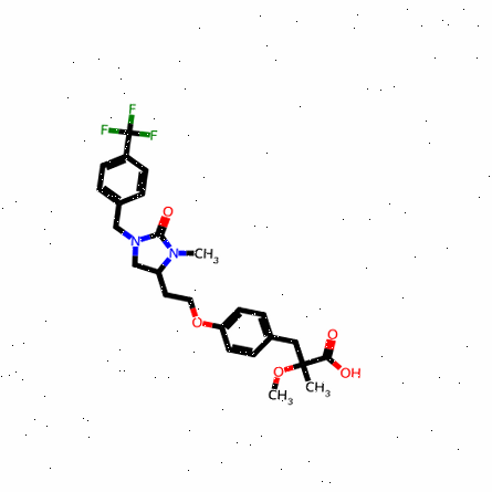 COC(C)(Cc1ccc(OCCC2CN(Cc3ccc(C(F)(F)F)cc3)C(=O)N2C)cc1)C(=O)O